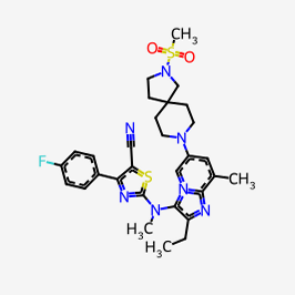 CCc1nc2c(C)cc(N3CCC4(CC3)CCN(S(C)(=O)=O)C4)cn2c1N(C)c1nc(-c2ccc(F)cc2)c(C#N)s1